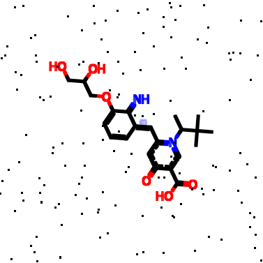 CC(n1cc(C(=O)O)c(=O)cc1/C=C1\C=CC=C(OCC(O)CO)C1=N)C(C)(C)C